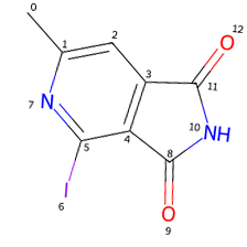 Cc1cc2c(c(I)n1)C(=O)NC2=O